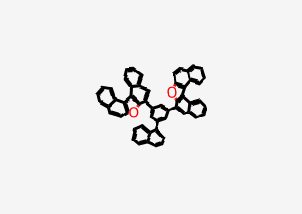 c1ccc2c(-c3cc(-c4cc5ccccc5c5c4oc4ccc6ccccc6c45)cc(-c4cc5ccccc5c5c4oc4ccc6ccccc6c45)c3)cccc2c1